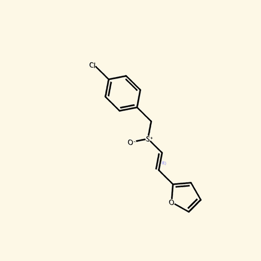 [O-][S+](/C=C/c1ccco1)Cc1ccc(Cl)cc1